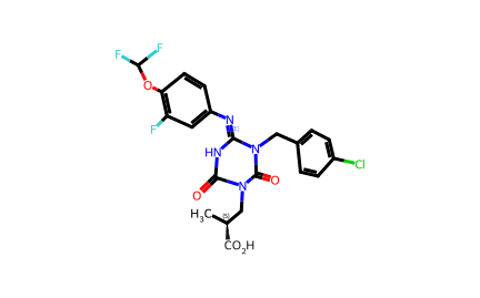 C[C@@H](Cn1c(=O)[nH]/c(=N\c2ccc(OC(F)F)c(F)c2)n(Cc2ccc(Cl)cc2)c1=O)C(=O)O